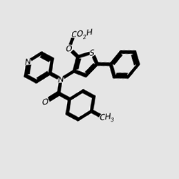 CC1CCC(C(=O)N(c2ccncc2)c2cc(-c3ccccc3)sc2OC(=O)O)CC1